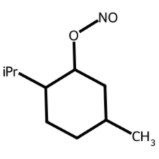 CC1CCC(C(C)C)C(ON=O)C1